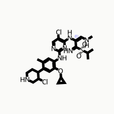 CN/C=C(/Nc1nc(Nc2cc(C)c(C3CCNCC3Cl)cc2OC2CC2)ncc1Cl)C(=N)S(=O)(=O)C(C)C